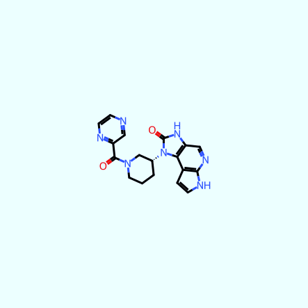 O=C(c1cnccn1)N1CCC[C@@H](n2c(=O)[nH]c3cnc4[nH]ccc4c32)C1